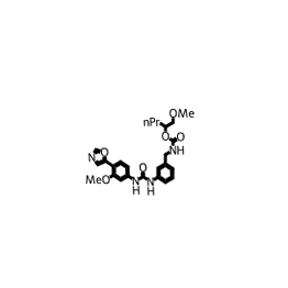 CCCC(COC)OC(=O)NCc1cccc(NC(=O)Nc2ccc(-c3cnco3)c(OC)c2)c1